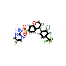 O=S(=O)(Nc1ncc(F)cn1)c1ccc2c(c1)OCC[C@@H]2c1ccc(C(F)(F)F)cc1Cl